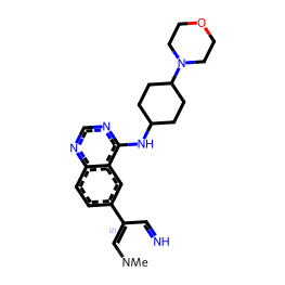 CN/C=C(\C=N)c1ccc2ncnc(NC3CCC(N4CCOCC4)CC3)c2c1